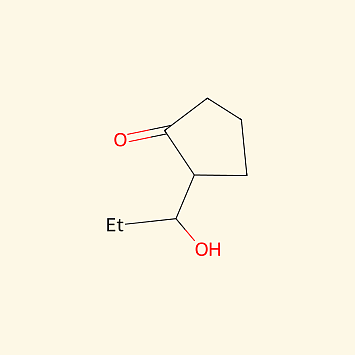 CCC(O)C1CCCC1=O